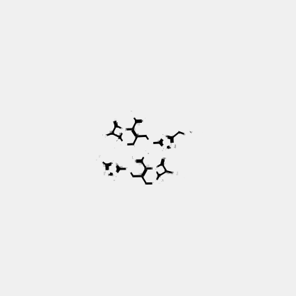 COCc1nc(SCC2=C(C(=O)O)N3C(=O)C(N)[C@H]3SC2)n[nH]1.NC1C(=O)N2C(C(=O)O)=C(CSc3n[nH]c(O)n3)CS[C@H]12